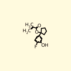 C=C(C)C(=O)OC1(c2ccc(F)c(O)c2)CCCC1